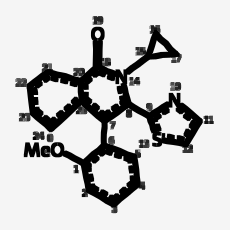 COc1ccccc1-c1c(-c2nccs2)n(C2CC2)c(=O)c2ccccc12